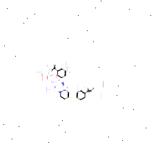 CCC(C)(C)c1ccc(SC2=C/C(=N/Nc3cc(C)cc(C(C)(C)C)c3O)C(=N)C=C2)cc1